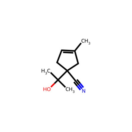 CC1=CCC(C#N)(C(C)(C)O)C1